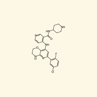 O=C(NC1CCNCC1)c1cnccc1Nc1cc(-c2cc(Cl)ccc2F)nc2c1OCCN2